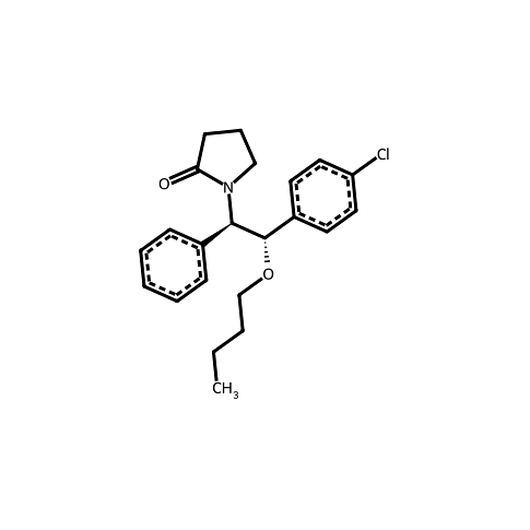 CCCCO[C@@H](c1ccc(Cl)cc1)[C@@H](c1ccccc1)N1CCCC1=O